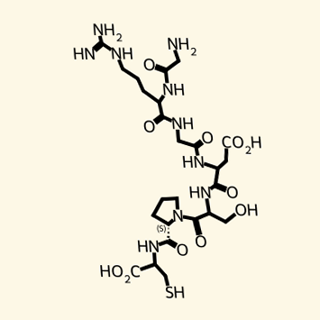 N=C(N)NCCCC(NC(=O)CN)C(=O)NCC(=O)NC(CC(=O)O)C(=O)NC(CO)C(=O)N1CCC[C@H]1C(=O)NC(CS)C(=O)O